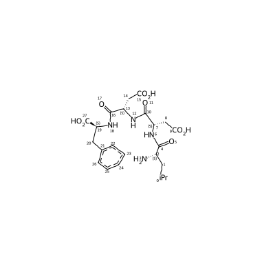 CC(C)C[C@H](N)C(=O)N[C@@H](CC(=O)O)C(=O)N[C@@H](CC(=O)O)C(=O)N[C@@H](Cc1ccccc1)C(=O)O